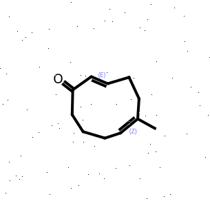 C/C1=C/CCCC(=O)/C=C/CC1